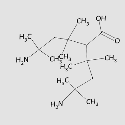 CC(C)(N)CC(C)(C)C(C(=O)O)C(C)(C)CC(C)(C)N